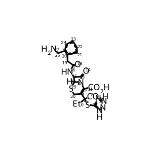 CCC(Sc1nnn[nH]1)(C(=O)O)C1=C(C(=O)O)N2C(=O)C(NC(=O)Cc3ccccc3CN)[C@@H]2SC1